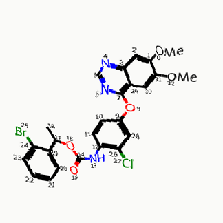 COc1cc2ncnc(Oc3ccc(NC(=O)OC(C)c4ccccc4Br)c(Cl)c3)c2cc1OC